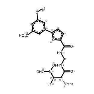 CCCCC[C@@H](C(=O)NCNC(=O)c1ccc(-c2cc(OCC)cc(C(=O)O)c2)o1)[C@@H](CC)N(O)C=O